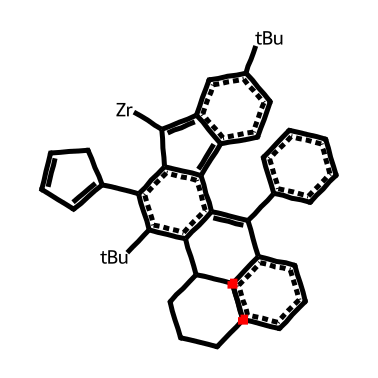 CC(C)(C)c1ccc2c(c1)=[C]([Zr])c1c(C3=CC=CC3)c(C(C)(C)C)c(C3CCCCC3)c(=C(c3ccccc3)c3ccccc3)c1=2